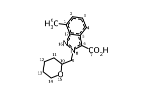 Cc1cccc2c(C(=O)O)n(CC3CCCCO3)nc12